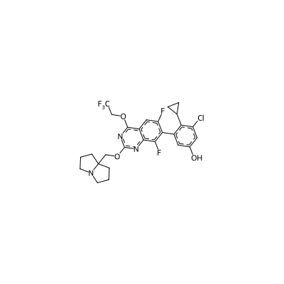 Oc1cc(Cl)c(C2CC2)c(-c2c(F)cc3c(OCC(F)(F)F)nc(OCC45CCCN4CCC5)nc3c2F)c1